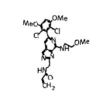 C=CC(=O)NCc1ncc2cc(-c3c(Cl)c(OC)cc(OC)c3Cl)nc(NCCOC)c2n1